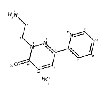 Cl.NCCn1nc(-c2ccccn2)ccc1=O